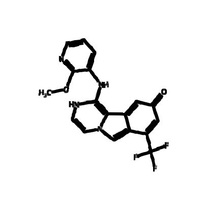 COc1ncccc1Nc1[nH]ccn2cc3c(C(F)(F)F)cc(=O)cc3c12